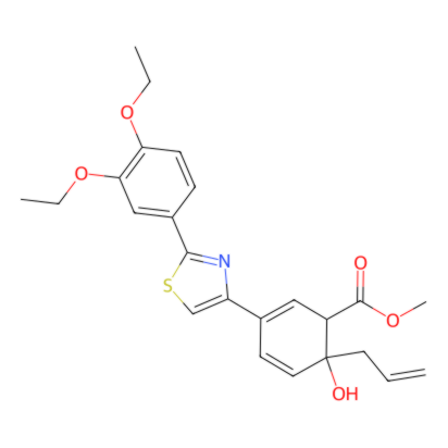 C=CCC1(O)C=CC(c2csc(-c3ccc(OCC)c(OCC)c3)n2)=CC1C(=O)OC